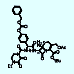 CCN1CCN(C(=O)NC(C(=O)N[C@@H]2C(=O)N3C(C(=O)OC(C)(C)C)=C(COC(C)=O)CSC23N)c2ccc(OC(=O)OCc3ccccc3)cc2)C(=O)C1=O